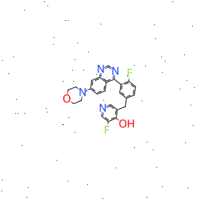 Oc1c(F)cncc1Cc1ccc(F)c(-c2ncnc3cc(N4CCOCC4)ccc23)c1